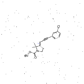 CC(C)(C)OC(=O)N1CC/C(=C\C#Cc2cccc(Cl)c2)C1(C)C